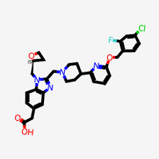 O=C(O)Cc1ccc2c(c1)nc(CN1CCC(c3cccc(OCc4ccc(Cl)cc4F)n3)CC1)n2C[C@@H]1CCO1